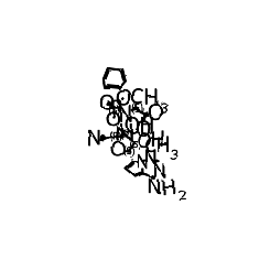 CCOC(=O)[C@H](C)N[P@@](=O)(Oc1ccccc1)OC1[C@@]2(C#N)O[C@@H](c3ccc4c(N)ncnn34)[C@H](O)[C@@]12O